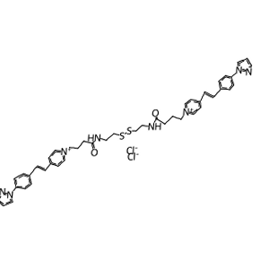 O=C(CCC[n+]1ccc(/C=C/c2ccc(-n3cccn3)cc2)cc1)NCCSSCCNC(=O)CCC[n+]1ccc(/C=C/c2ccc(-n3cccn3)cc2)cc1.[Cl-].[Cl-]